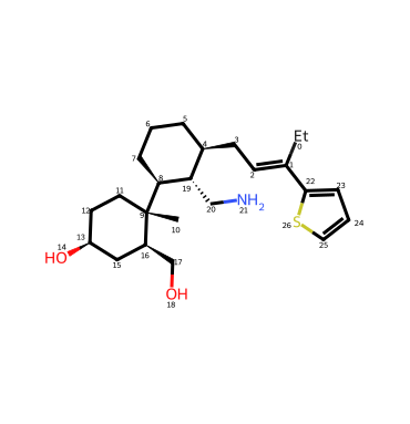 CC/C(=C\C[C@@H]1CCC[C@H]([C@@]2(C)CC[C@H](O)C[C@@H]2CO)[C@H]1CN)c1cccs1